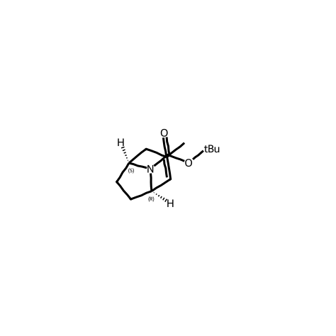 CC1=C[C@H]2CC[C@@H](C1)N2C(=O)OC(C)(C)C